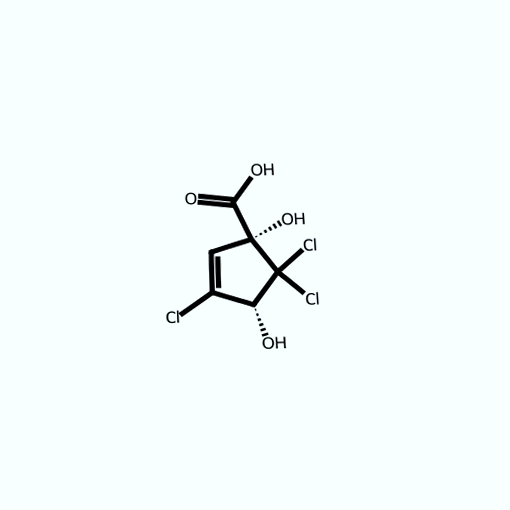 O=C(O)[C@]1(O)C=C(Cl)[C@@H](O)C1(Cl)Cl